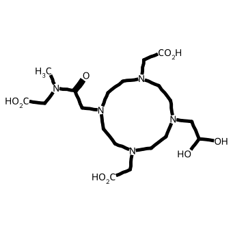 CN(CC(=O)O)C(=O)CN1CCN(CC(=O)O)CCN(CC(O)O)CCN(CC(=O)O)CC1